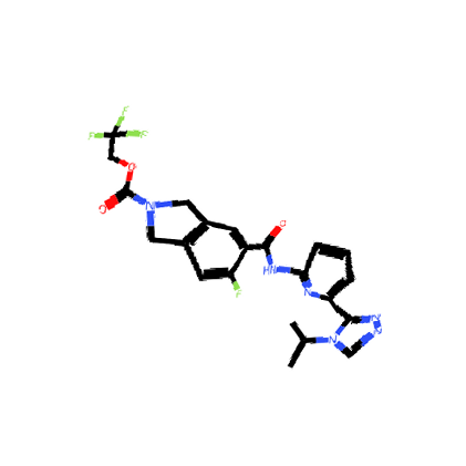 CC(C)n1cnnc1-c1cccc(NC(=O)c2cc3c(cc2F)CN(C(=O)OCC(F)(F)F)C3)n1